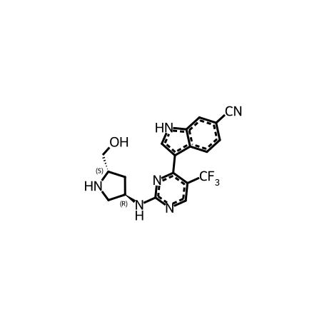 N#Cc1ccc2c(-c3nc(N[C@H]4CN[C@H](CO)C4)ncc3C(F)(F)F)c[nH]c2c1